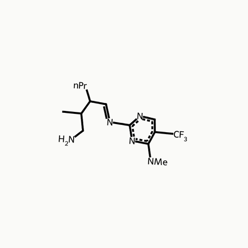 CCCC(/C=N/c1ncc(C(F)(F)F)c(NC)n1)C(C)CN